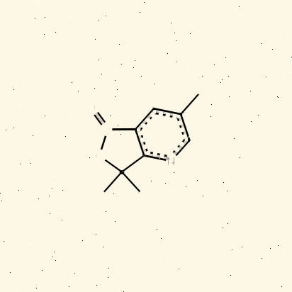 Cc1cnc2c(c1)S(=O)OC2(C)C